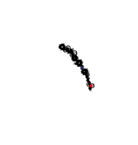 C=CC(=O)OCCCCOc1ccc(/C=C/c2ccc(-c3ccc(OC(=O)C(=C)CC(=O)OC4CCCCC4)cc3)c(C)c2)cc1